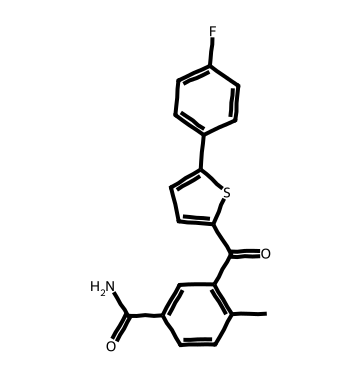 Cc1ccc(C(N)=O)cc1C(=O)c1ccc(-c2ccc(F)cc2)s1